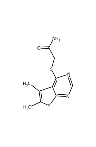 Cc1sc2ncnc(SCC(N)=O)c2c1C